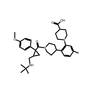 COc1ccc(C2(C(=O)N3CCC(c4ccc(F)cc4N4CCC(C(=O)O)CC4)CC3)CC2CNC(C)(C)C)cc1